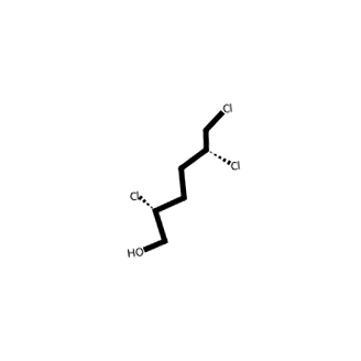 OC[C@H](Cl)CC[C@@H](Cl)CCl